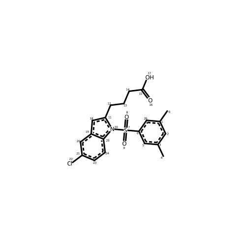 Cc1cc(C)cc(S(=O)(=O)n2c(CCCC(=O)O)cc3cc(Cl)ccc32)c1